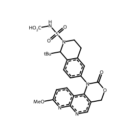 COc1ccc2c3c(cnc2n1)COC(=O)N3c1ccc2c(c1)CCN(S(=O)(=O)NC(=O)O)C2C(C)(C)C